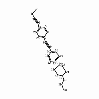 CCC#Cc1ccc(C#Cc2ccc([C@H]3CC[C@H](CCC)CC3)cc2)cc1